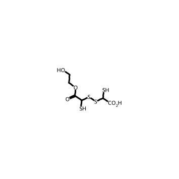 O=C(O)C(S)SSC(S)C(=O)OCCO